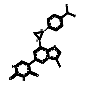 O=c1[nH]cc(-c2cc([C@H]3C[C@@H]3c3ccc(C(F)F)cc3)c3ncc(F)n3n2)c(=O)[nH]1